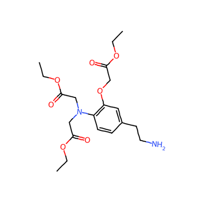 CCOC(=O)COc1cc(CCN)ccc1N(CC(=O)OCC)CC(=O)OCC